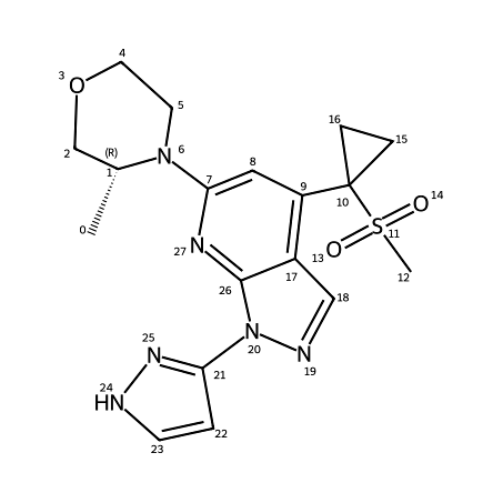 C[C@@H]1COCCN1c1cc(C2(S(C)(=O)=O)CC2)c2cnn(-c3cc[nH]n3)c2n1